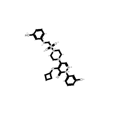 O=c1c(OC2CCC2)c(N2CCN(S(=O)(=O)CSc3cccc(O)c3)CC2)cnn1-c1cccc(Cl)c1